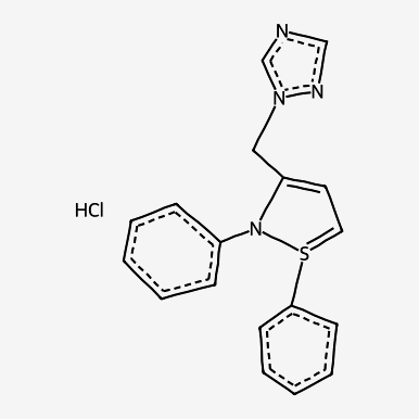 C1=C(Cn2cncn2)N(c2ccccc2)S(c2ccccc2)=C1.Cl